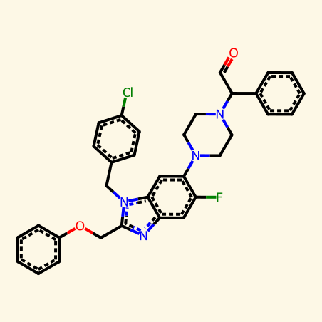 O=CC(c1ccccc1)N1CCN(c2cc3c(cc2F)nc(COc2ccccc2)n3Cc2ccc(Cl)cc2)CC1